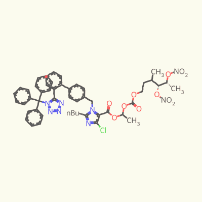 CCCCc1nc(Cl)c(C(=O)OC(C)OC(=O)OCCC(C)[C@@H](O[N+](=O)[O-])[C@@H](C)O[N+](=O)[O-])n1Cc1ccc(-c2ccccc2-c2nnnn2C(c2ccccc2)(c2ccccc2)c2ccccc2)cc1